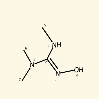 CN/C(=N\O)N(C)C